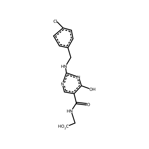 O=C(O)CNC(=O)c1cnc(NCc2ccc(Cl)cc2)nc1O